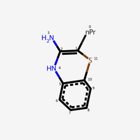 CCCC1=C(N)Nc2ccccc2S1